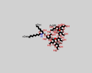 CCCCCCCCCCCCC/C=C/[C@@H](O)[C@H](CO[C@@H]1OC(CO)[C@@H](O[C@@H]2OC(CO)[C@H](O[C@@H]3OC(CO)[C@H](O)[C@H](O)C3NC(C)=O)[C@H](O[C@@H]3OC(CO)[C@@H](O)[C@H](O[C@@H]4OC(CO)[C@H](O[C@@H]5OC(CO)[C@H](O)[C@H](O)C5NC(C)=O)[C@H](O[C@]5(C(=O)O)CC(O)[C@@H](NC(C)=O)C([C@H](O)[C@H](O)CO)O5)C4O)C3NC(C)=O)C2O)[C@H](O)C1O)NC(=O)CCCCCCCCCCCCCCCCC